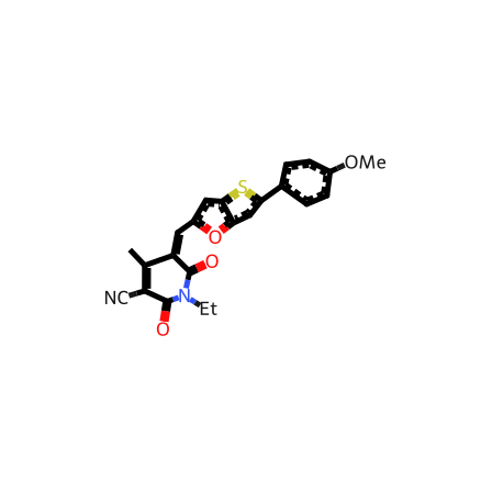 CCN1C(=O)C(C#N)=C(C)/C(=C/c2cc3sc(-c4ccc(OC)cc4)cc3o2)C1=O